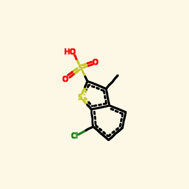 Cc1c(S(=O)(=O)O)sc2c(Cl)cccc12